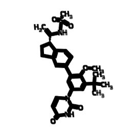 C=C(NS(C)(=O)=O)[C@H]1CCc2cc(-c3cc(-n4ccc(=O)[nH]c4=O)cc(C(C)(C)C)c3OC)ccc21